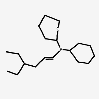 CCC(CC)CC=CP(C1CCCCC1)C1CCCCC1